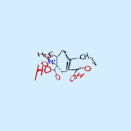 CC1=C(C(=O)O)[CH]C(C(=O)O)([N+](=O)[O-])C(C)C1